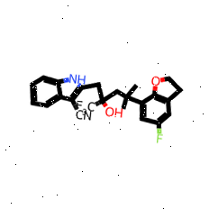 CC(C)(CC(O)(Cc1[nH]c2ccccc2c1C#N)C(F)(F)F)c1cc(F)cc2c1OCC2